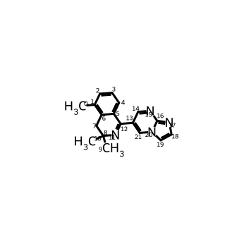 Cc1cccc2c1CC(C)(C)N=C2c1cnc2nccn2c1